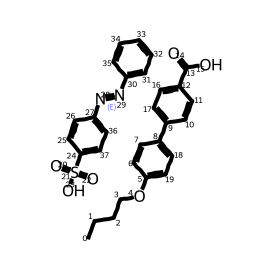 CCCCOc1ccc(-c2ccc(C(=O)O)cc2)cc1.O=S(=O)(O)c1ccc(/N=N/c2ccccc2)cc1